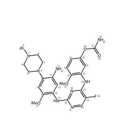 COc1cc(N2CCN(C(C)C)CC2)c(N)cc1Nc1ncc(F)c(Nc2cc(OC(N)=O)ccc2OC)n1